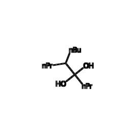 CCCCC(CCC)C(O)(O)CCC